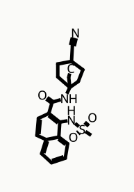 CS(=O)(=O)Nc1c(C(=O)NC23CCC(C#N)(CC2)CC3)ccc2ccccc12